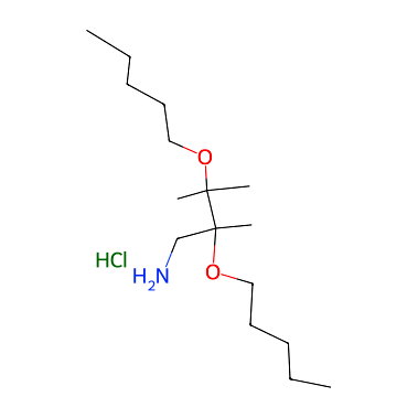 CCCCCOC(C)(C)C(C)(CN)OCCCCC.Cl